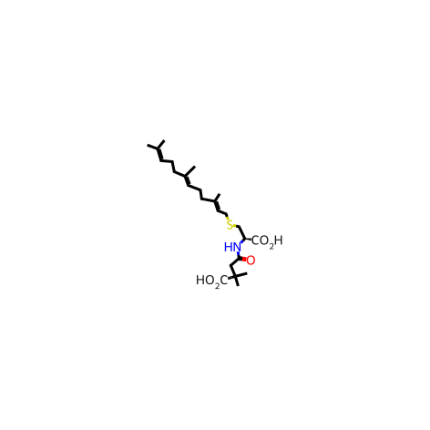 CC(C)=CCC/C(C)=C/CC/C(C)=C/CSC[C@H](NC(=O)CC(C)(C)C(=O)O)C(=O)O